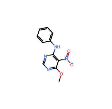 COc1ncnc(Nc2ccccc2)c1[N+](=O)[O-]